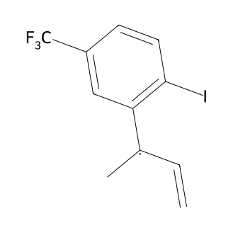 C=C[C](C)c1cc(C(F)(F)F)ccc1I